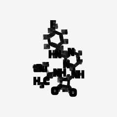 C[C@@H](Nc1c(Nc2ccnc(Nc3ccc(F)cc3)n2)c(=O)c1=O)C(C)(C)C